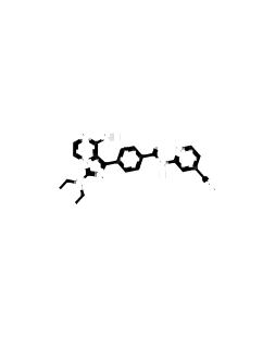 CCN(CC)c1nc(-c2ccc(C(=O)Nc3cc(C#N)ccn3)cc2)c2c(N)nccn12